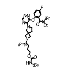 CCN(C(=O)c1cc(F)ccc1Oc1nncnc1N1CCC2(C1)CN([C@@H](CCCOC(=O)NC(C)(C)C)C(C)C)C2)C(C)C